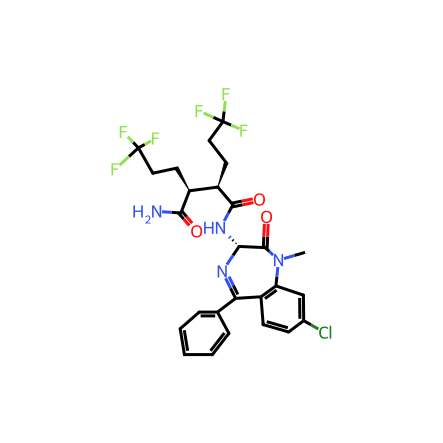 CN1C(=O)[C@@H](NC(=O)[C@H](CCC(F)(F)F)[C@H](CCC(F)(F)F)C(N)=O)N=C(c2ccccc2)c2ccc(Cl)cc21